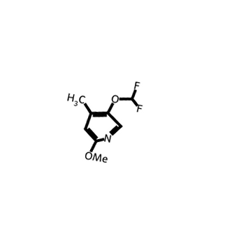 COc1cc(C)c(OC(F)F)cn1